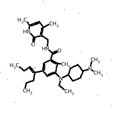 CC/C=C(\CCC)c1cc(C(=O)NCc2c(C)cc(C)[nH]c2=O)c(C)c(N(CC)C2CCC(N(C)C)CC2)c1